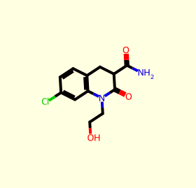 NC(=O)C1Cc2ccc(Cl)cc2N(CCO)C1=O